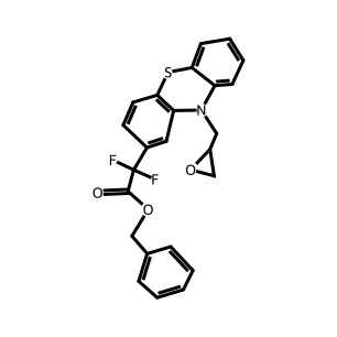 O=C(OCc1ccccc1)C(F)(F)c1ccc2c(c1)N(CC1CO1)c1ccccc1S2